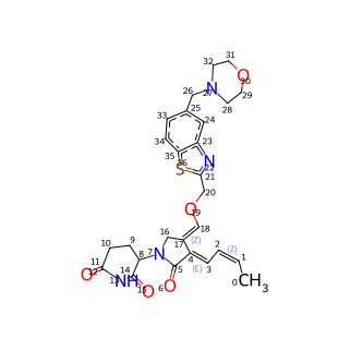 C\C=C/C=C1/C(=O)N(C2CCC(=O)NC2=O)C/C1=C\OCc1nc2cc(CN3CCOCC3)ccc2s1